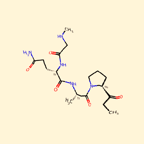 CCC(=O)[C@@H]1CCCN1C(=O)[C@H](C)NC(=O)[C@H](CCC(N)=O)NC(=O)CNC